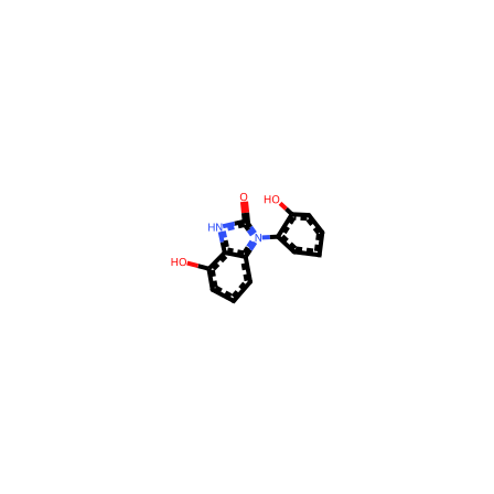 O=c1[nH]c2c(O)cccc2n1-c1ccccc1O